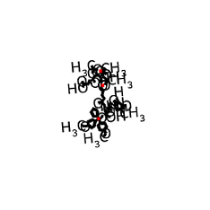 COc1ccc(C(OC[C@]2(CO)CN(C(=O)CCCCO[C@@H]3O[C@H]([CH]CC(=O)O)[C@@H](OC(C)=O)[C@H](OC(C)=O)[C@H]3NC(C)=O)C[C@H](n3cc(C)c(=O)[nH]c3=O)O2)(c2ccccc2)c2ccc(OC)cc2)cc1